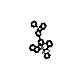 c1ccc(-n2c3ccccc3c3cc(-c4cc5c6c(c4)c4c7ccccc7ccc4n6-c4nc6ccccc6nc4-c4ccccc4-5)ccc32)cc1